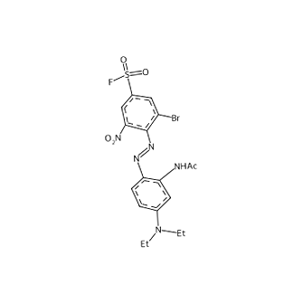 CCN(CC)c1ccc(N=Nc2c(Br)cc(S(=O)(=O)F)cc2[N+](=O)[O-])c(NC(C)=O)c1